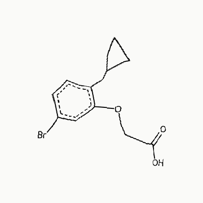 O=C(O)COc1cc(Br)ccc1C1CC1